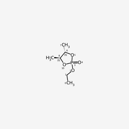 CCOP1(=O)O[C@@H](C)[C@H](C)O1